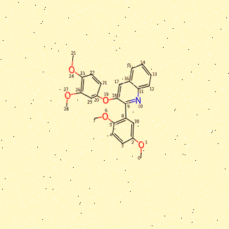 COc1ccc(OC)c(-c2nc3ccccc3cc2Oc2ccc(OC)c(OC)c2)c1